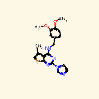 COc1ccc(CNc2nc(-n3ccnc3)nc3scc(C)c23)cc1OC